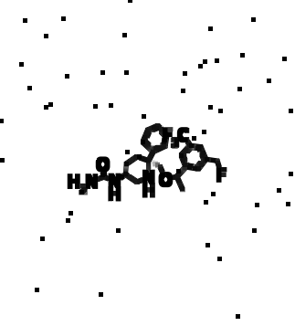 CC(OC[C@@]1(c2ccccc2)CC[C@H](NC(N)=O)CN1)c1cc(CF)cc(C(F)(F)F)c1